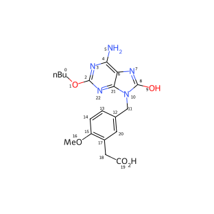 CCCCOc1nc(N)c2nc(O)n(Cc3ccc(OC)c(CC(=O)O)c3)c2n1